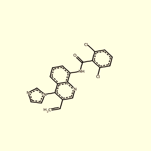 C=Cc1cnc2c(NC(=O)c3c(Cl)cccc3Cl)cccc2c1-n1ccnc1